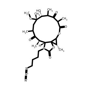 CO[C@@]1(C)CC(C)C(=O)[C@H](C)[C@H]2N(CCCCN=[N+]=[N-])C(=O)OC23C(OC(=O)C(C)C(=O)C(C)[C@H]1O)[C@@H]3C